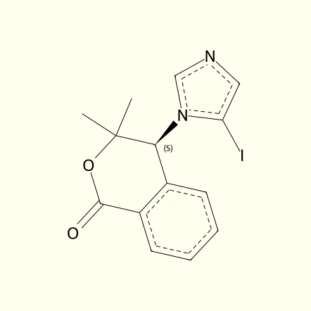 CC1(C)OC(=O)c2ccccc2[C@@H]1n1cncc1I